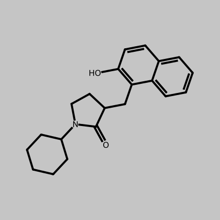 O=C1C(Cc2c(O)ccc3ccccc23)CCN1C1CCCCC1